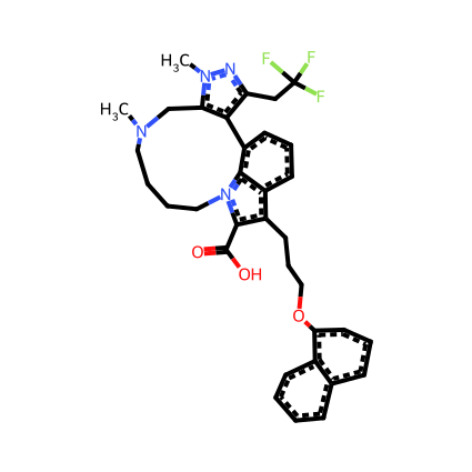 CN1CCCCn2c(C(=O)O)c(CCCOc3cccc4ccccc34)c3cccc(c32)-c2c(CC(F)(F)F)nn(C)c2C1